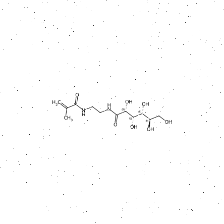 C=C(C)C(=O)NCCNC(=O)[C@H](O)[C@@H](O)[C@H](O)[C@H](O)CO